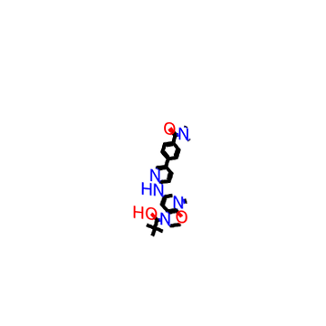 C=NC1=C(/C=C(\C)Nc2ccc(-c3ccc(C(=O)N(C)C)cc3)cn2)N(C(O)C(C)(C)C)CCO1